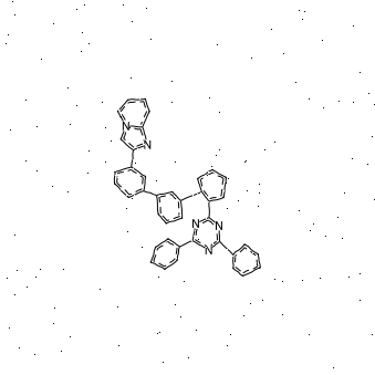 c1ccc(-c2nc(-c3ccccc3)nc(-c3ccccc3-c3cccc(-c4cccc(-c5cn6ccccc6n5)c4)c3)n2)cc1